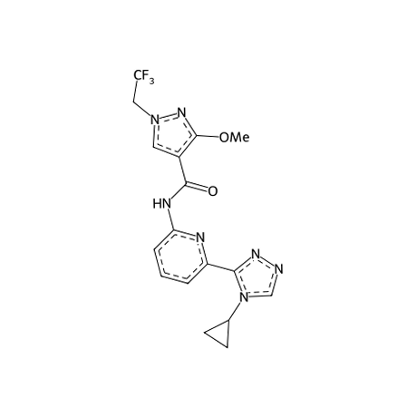 COc1nn(CC(F)(F)F)cc1C(=O)Nc1cccc(-c2nncn2C2CC2)n1